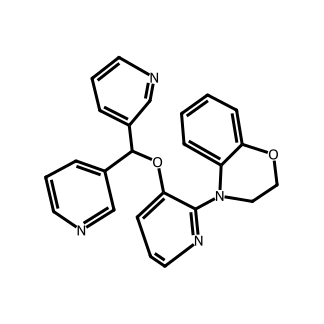 c1cncc(C(Oc2cccnc2N2CCOc3ccccc32)c2cccnc2)c1